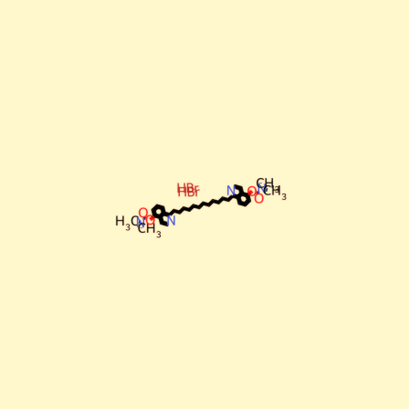 Br.Br.CN(C)C(=O)Oc1cccc2c(CCCCCCCCCCCCc3nccc4c(OC(=O)N(C)C)cccc34)nccc12